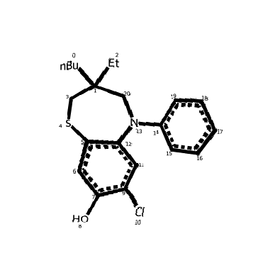 CCCCC1(CC)CSc2cc(O)c(Cl)cc2N(c2ccccc2)C1